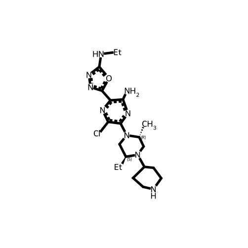 CCNc1nnc(-c2nc(Cl)c(N3C[C@H](CC)N(C4CCNCC4)C[C@H]3C)nc2N)o1